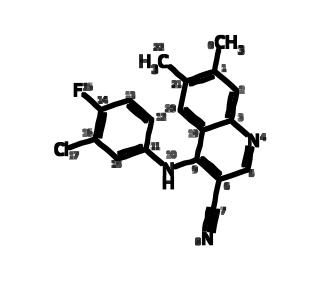 Cc1cc2ncc(C#N)c(Nc3ccc(F)c(Cl)c3)c2cc1C